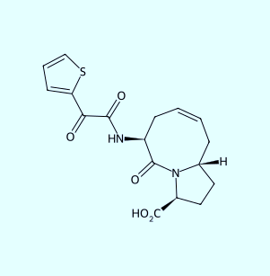 O=C(N[C@H]1C/C=C\C[C@@H]2CC[C@@H](C(=O)O)N2C1=O)C(=O)c1cccs1